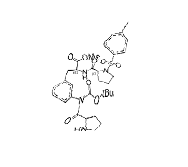 COC(=O)[C@H](Cc1cccc(N(C(=O)OC(C)(C)C)C(=O)C2CCCN2)c1)NC(=O)[C@@H]1CCCN1S(=O)(=O)c1ccc(C)cc1